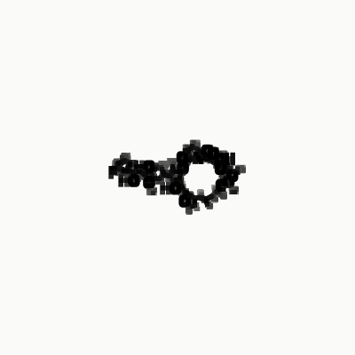 CCC1/C=C(\C)CC(C)CC(OC)C2OC(O)(C(=O)C(=O)N3CCCCC3C(=O)OC(C(C)=CC3CCC(O)(CCC(O)c4cccc(F)c4)C(OC)C3)C(C)C(O)CC1=O)C(C)CC2OC